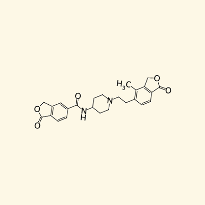 Cc1c(CCN2CCC(NC(=O)c3ccc4c(c3)COC4=O)CC2)ccc2c1COC2=O